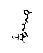 CN1CCCC1CCNC(=O)CCn1cnc2c(=O)[nH]c(N)nc21